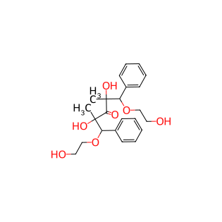 CC(O)(C(=O)C(C)(O)C(OCCO)c1ccccc1)C(OCCO)c1ccccc1